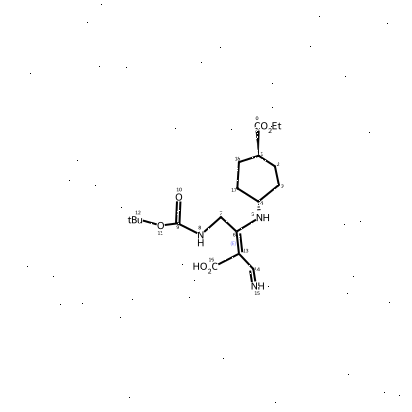 CCOC(=O)[C@H]1CC[C@H](N/C(CNC(=O)OC(C)(C)C)=C(\C=N)C(=O)O)CC1